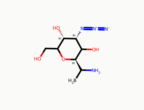 BC(N)[C@H]1OC(CO)[C@H](O)[C@H](N=[N+]=[N-])C1O